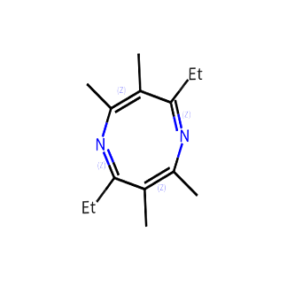 CCC1=N/C(C)=C(C)\C(CC)=N/C(C)=C\1C